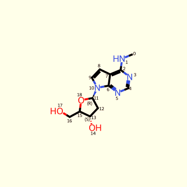 CNc1ncnc2c1ccn2[C@H]1C[C@H](O)C(CO)O1